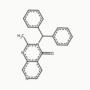 Cc1nc2cnccc2c(=O)n1C(c1ccccc1)c1ccccc1